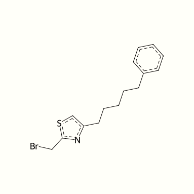 BrCc1nc(CCCCCc2ccccc2)cs1